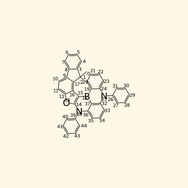 CC1(C)c2ccccc2-c2ccc3oc4c(c3c21)B1c2ccccc2N(c2ccccc2)c2cccc(c21)N4c1ccccc1